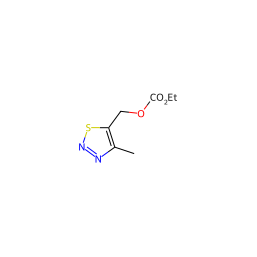 CCOC(=O)OCc1snnc1C